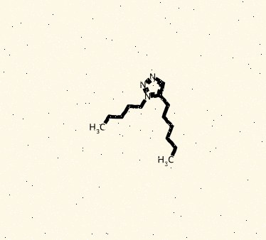 CCCCCCc1cnnn1CCCCC